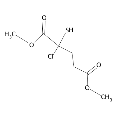 COC(=O)CCC(S)(Cl)C(=O)OC